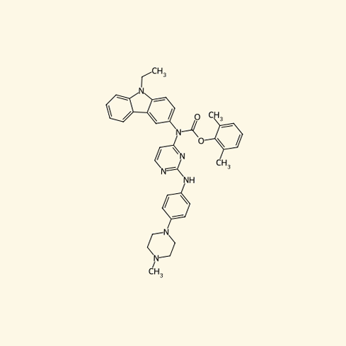 CCn1c2ccccc2c2cc(N(C(=O)Oc3c(C)cccc3C)c3ccnc(Nc4ccc(N5CCN(C)CC5)cc4)n3)ccc21